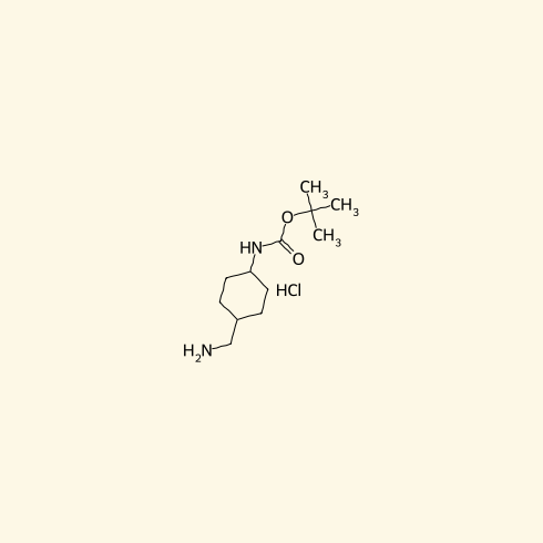 CC(C)(C)OC(=O)NC1CCC(CN)CC1.Cl